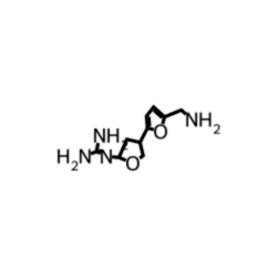 NCc1ccc(C2COC(N=C(N)N)C2)o1